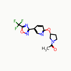 CC(=O)N1CC[C@H](Oc2ccc(-c3noc(C(F)(F)F)n3)cn2)C1